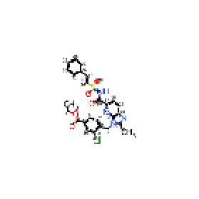 CCOC(=O)c1ccc(Cn2c(C)nc3ccc(C(=O)NS(=O)(=O)/C=C/c4ccccc4)nc32)c(Cl)c1